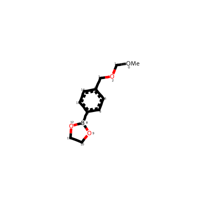 COCOCc1ccc(B2OCCO2)cc1